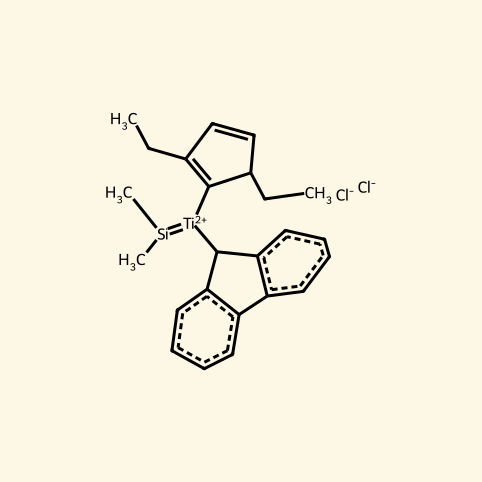 CCC1=[C]([Ti+2]([CH]2c3ccccc3-c3ccccc32)=[Si](C)C)C(CC)C=C1.[Cl-].[Cl-]